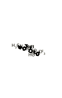 Cn1ccc(-c2cccc(C3(c4nc5c(c(=O)[nH]4)CN(C(=O)[C@H](O)c4cccc(C(F)(F)F)c4)CCC5)CC3)c2)n1